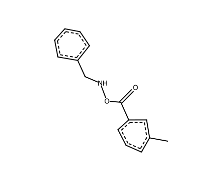 Cc1cccc(C(=O)ONCc2ccccc2)c1